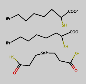 CC(C)CCCCCC(S)C(=O)[O-].CC(C)CCCCCC(S)C(=O)[O-].O=C(S)C[CH2][Sn+2][CH2]CC(=O)S